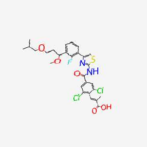 COC(CCOCC(C)C)c1cccc(-c2csc(NC(=O)c3cc(Cl)c(C=C(C)C(=O)O)c(Cl)c3)n2)c1F